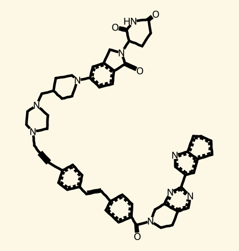 O=C1CCC(N2Cc3cc(N4CCC(CN5CCN(CC#Cc6ccc(/C=C/c7ccc(C(=O)N8CCc9cnc(-c%10cnc%11ccccc%11c%10)nc9C8)cc7)cc6)CC5)CC4)ccc3C2=O)C(=O)N1